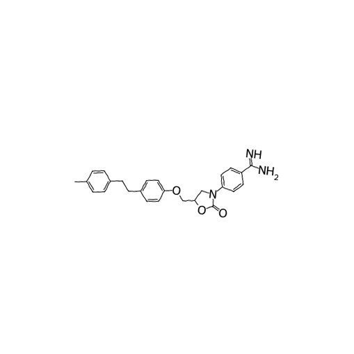 Cc1ccc(CCc2ccc(OCC3CN(c4ccc(C(=N)N)cc4)C(=O)O3)cc2)cc1